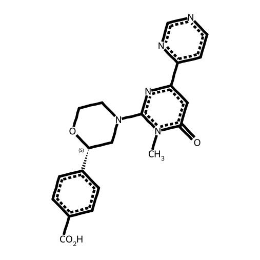 Cn1c(N2CCO[C@@H](c3ccc(C(=O)O)cc3)C2)nc(-c2ccncn2)cc1=O